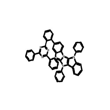 c1ccc(-c2nc(-c3ccccc3)nc(-c3ccccc3-c3ccc4c(c3)nc3n(-c5ccccc5)c5c6ccccc6n(-c6ccccc6)c5n43)n2)cc1